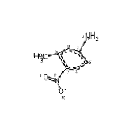 Cc1cc(N)ccc1[N+](=O)[O-]